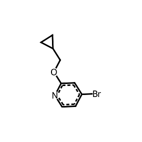 Brc1ccnc(OCC2CC2)c1